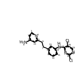 Nc1ccnc(CCc2cccc(Nc3nc(Cl)ncc3Cl)c2)c1